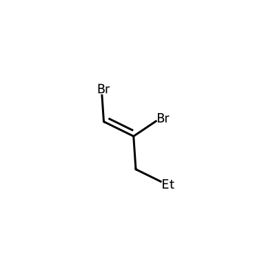 [CH2]CC/C(Br)=C/Br